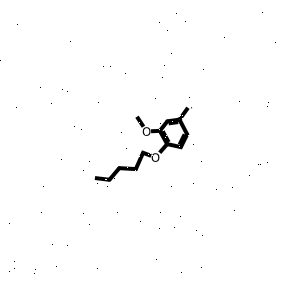 [CH2]c1ccc(OCCCCC)c(OC)c1